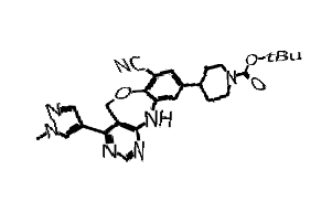 Cn1cc(-c2ncnc3c2COc2c(C#N)cc(C4CCN(C(=O)OC(C)(C)C)CC4)cc2N3)cn1